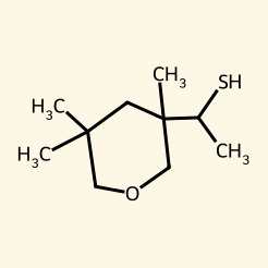 CC(S)C1(C)COCC(C)(C)C1